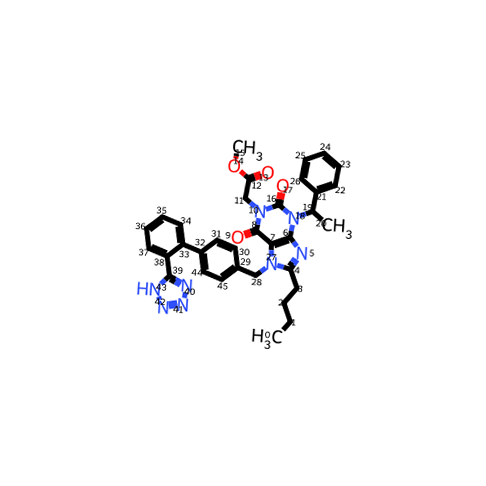 CCCCc1nc2c(c(=O)n(CC(=O)OC)c(=O)n2C(C)c2ccccc2)n1Cc1ccc(-c2ccccc2-c2nnn[nH]2)cc1